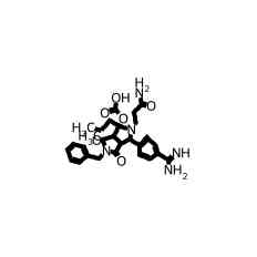 CC(C)CC1(OC(=O)O)C2C(=O)N(Cc3ccccc3)C(=O)C2C(c2ccc(C(=N)N)cc2)N1CCC(N)=O